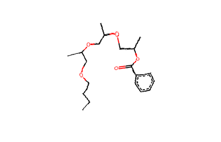 CCCCOCC(C)OCC(C)OCC(C)OC(=O)c1ccccc1